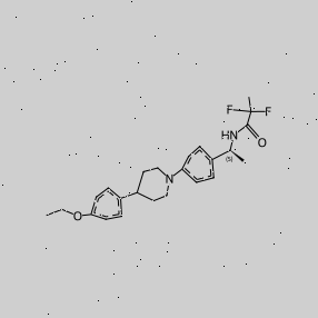 CCOc1ccc(C2CCN(c3ccc([C@H](C)NC(=O)C(C)(F)F)cc3)CC2)cc1